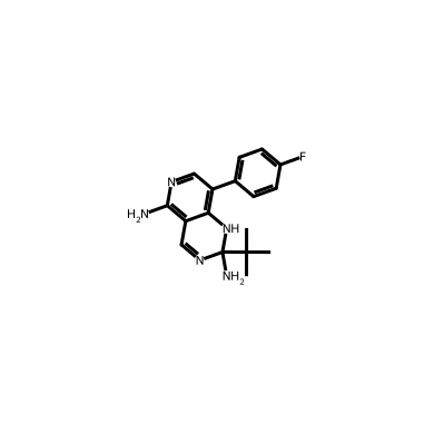 CC(C)(C)C1(N)N=Cc2c(N)ncc(-c3ccc(F)cc3)c2N1